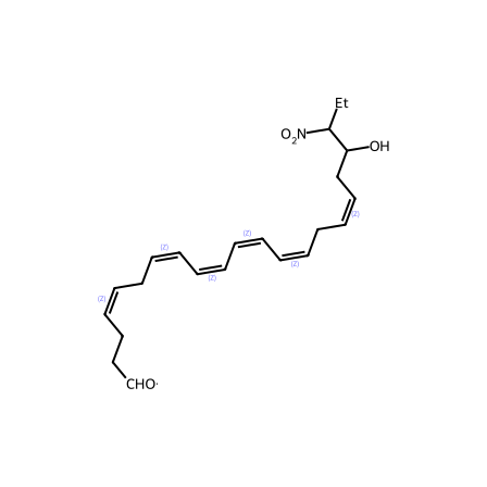 CCC(C(O)C/C=C\C\C=C/C=C\C=C/C=C\C/C=C\CC[C]=O)[N+](=O)[O-]